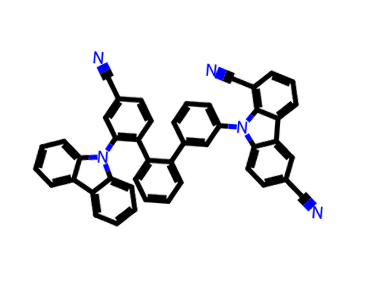 N#Cc1ccc(-c2ccccc2-c2cccc(-n3c4ccc(C#N)cc4c4cccc(C#N)c43)c2)c(-n2c3ccccc3c3ccccc32)c1